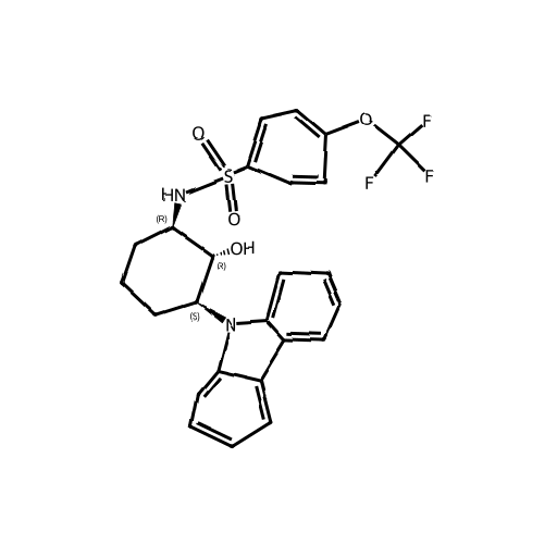 O=S(=O)(N[C@@H]1CCC[C@H](n2c3ccccc3c3ccccc32)[C@H]1O)c1ccc(OC(F)(F)F)cc1